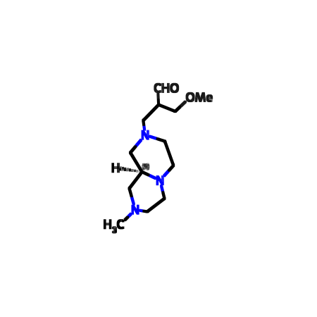 COCC(C=O)CN1CCN2CCN(C)C[C@H]2C1